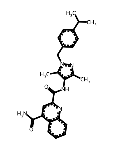 Cc1nn(Cc2ccc(C(C)C)cc2)c(C)c1NC(=O)c1cc(C(N)=O)c2ccccc2n1